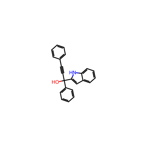 OC(C#Cc1ccccc1)(c1ccccc1)c1cc2ccccc2[nH]1